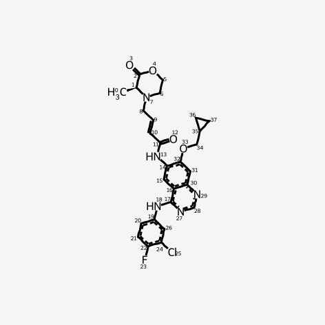 C[C@H]1C(=O)OCCN1CC=CC(=O)Nc1cc2c(Nc3ccc(F)c(Cl)c3)ncnc2cc1OCC1CC1